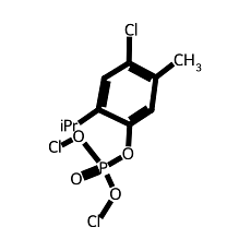 Cc1cc(OP(=O)(OCl)OCl)c(C(C)C)cc1Cl